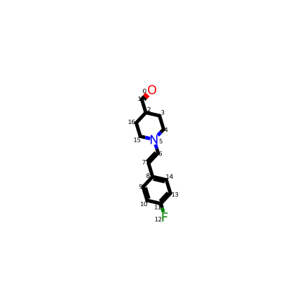 O=CC1CCN(C=Cc2ccc(F)cc2)CC1